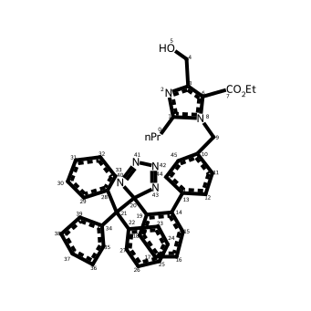 CCCc1nc(CO)c(C(=O)OCC)n1Cc1ccc(-c2ccccc2C2(C(c3ccccc3)(c3ccccc3)c3ccccc3)N=NN=N2)cc1